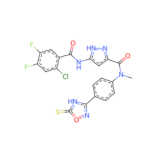 CN(C(=O)c1cc(NC(=O)c2cc(F)c(F)cc2Cl)[nH]n1)c1ccc(-c2noc(=S)[nH]2)cc1